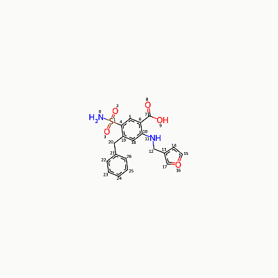 NS(=O)(=O)c1cc(C(=O)O)c(NCc2ccoc2)cc1Cc1ccccc1